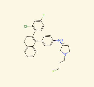 FCCCN1CC[C@H](Nc2ccc(C3=C(c4ccc(F)cc4Cl)CCc4ccccc43)cc2)C1